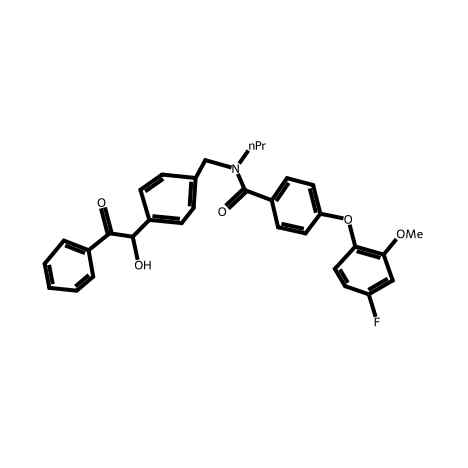 CCCN(Cc1ccc(C(O)C(=O)c2ccccc2)cc1)C(=O)c1ccc(Oc2ccc(F)cc2OC)cc1